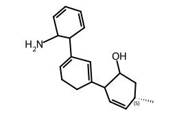 C[C@@H]1C=CC(C2=CC(C3C=CC=CC3N)=CCC2)C(O)C1